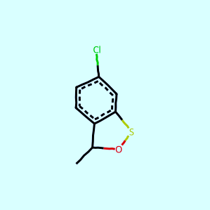 CC1OSc2cc(Cl)ccc21